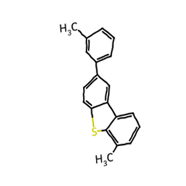 Cc1cccc(-c2ccc3sc4c(C)cccc4c3c2)c1